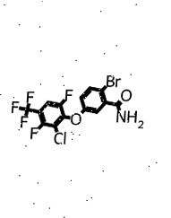 NC(=O)c1cc(Oc2c(F)cc(C(F)(F)F)c(F)c2Cl)ccc1Br